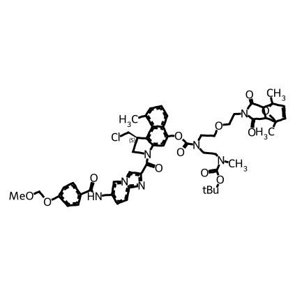 COCOc1ccc(C(=O)Nc2ccc3nc(C(=O)N4C[C@@H](CCl)c5c4cc(OC(=O)N(CCOCCN4C(=O)C6C(C4=O)C4(C)C=CC6(C)O4)CCN(C)C(=O)OC(C)(C)C)c4cccc(C)c54)cn3c2)cc1